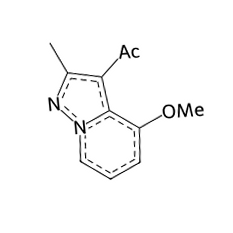 COc1cccn2nc(C)c(C(C)=O)c12